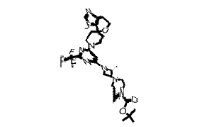 C[C@@H]1[C@H](N2CCN(C(=O)OC(C)(C)C)CC2)CN1c1cc(N2CCC3(CC2)OCCc2ncsc23)nc(C(F)(F)F)n1